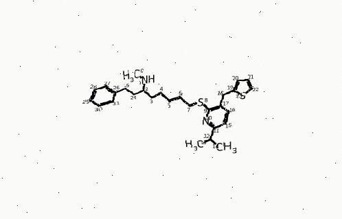 CNC(CCCCCSc1nc(C(C)C)ccc1Cc1cccs1)CCc1ccccc1